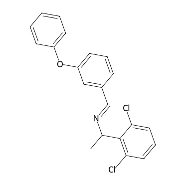 CC(N=Cc1cccc(Oc2ccccc2)c1)c1c(Cl)cccc1Cl